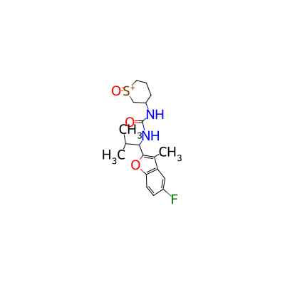 Cc1c(C(NC(=O)NC2CCC[S+]([O-])C2)C(C)C)oc2ccc(F)cc12